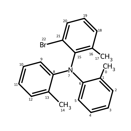 Cc1ccccc1N(c1ccccc1C)c1c(C)cccc1Br